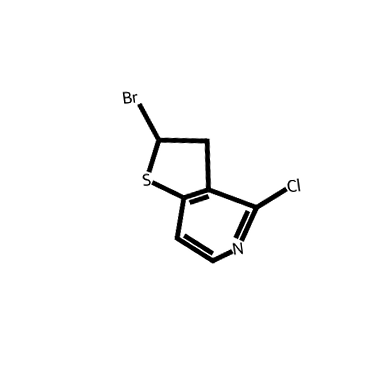 Clc1nccc2c1CC(Br)S2